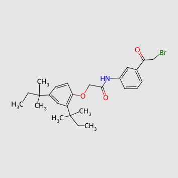 CCC(C)(C)c1ccc(OCC(=O)Nc2cccc(C(=O)CBr)c2)c(C(C)(C)CC)c1